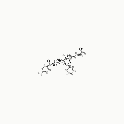 CCc1ccc(C(=O)NCCNc2nc(-c3ccccc3)nc(NCCNC(C)=O)c2C)cc1